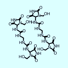 O=C(NCNC(=O)NC1C(=O)NC(=O)N1CO)NC1C(=O)NC(=O)N1CO.O=C(NCNC(=O)NC1C(=O)NC(=O)N1CO)NC1C(=O)NC(=O)N1CO